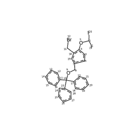 FC(F)Oc1ccc(COC(c2ccccc2)(c2ccccc2)c2ccccc2)cc1CBr